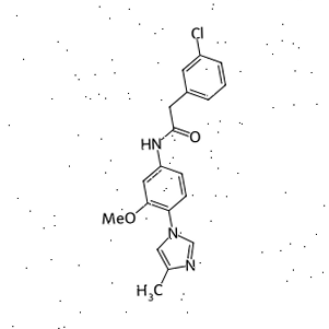 COc1cc(NC(=O)Cc2cccc(Cl)c2)ccc1-n1cnc(C)c1